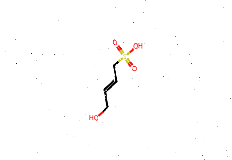 O=S(=O)(O)CC=CCO